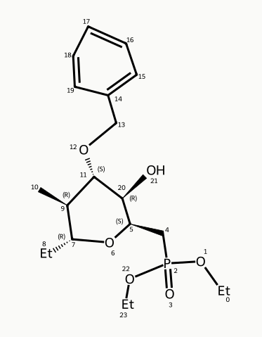 CCOP(=O)(C[C@H]1O[C@H](CC)[C@@H](C)[C@H](OCc2ccccc2)[C@H]1O)OCC